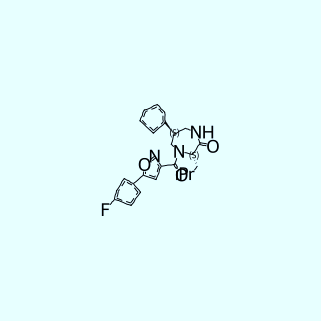 CC(C)C[C@H]1C(=O)NC[C@H](c2ccccc2)CN1C(=O)c1cc(-c2ccc(F)cc2)on1